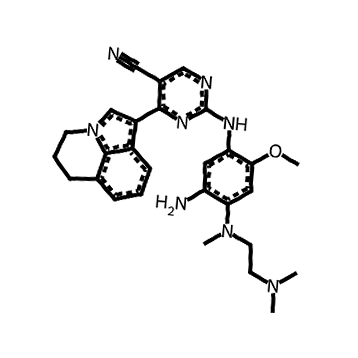 COc1cc(N(C)CCN(C)C)c(N)cc1Nc1ncc(C#N)c(-c2cn3c4c(cccc24)CCC3)n1